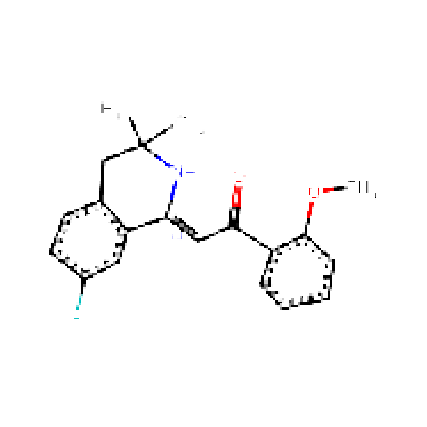 COc1ccccc1C(=O)/C=C1\NC(C)(C)Cc2ccc(F)cc21